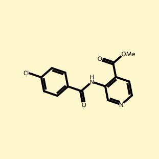 COC(=O)c1ccncc1NC(=O)c1ccc(Cl)cc1